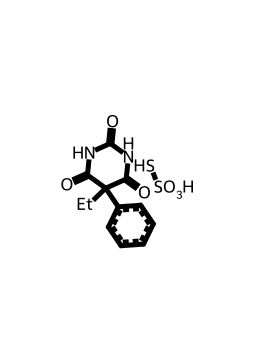 CCC1(c2ccccc2)C(=O)NC(=O)NC1=O.O=S(=O)(O)S